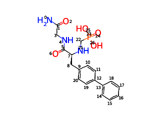 NC(=O)CNC(=O)[C@H](Cc1ccc(-c2ccccc2)cc1)NCP(=O)(O)O